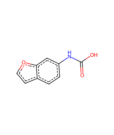 O=C(O)Nc1ccc2ccoc2c1